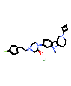 Cl.Cn1c2c(c3ccc(N4CCN(CCc5ccc(F)cc5)CC4=O)cc31)CN(C1=CC=C1)CCC2